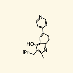 Cc1nc2ccc(-c3ccncc3)cc2c(O)c1CC(C)C